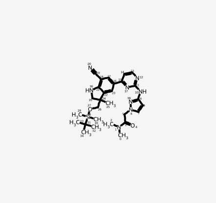 CN(C)C(=O)Cn1ccc(Nc2nccc(-c3cc(C#N)c4c(c3)C(C)(CO[Si](C)(C)C(C)(C)C)CN4)n2)n1